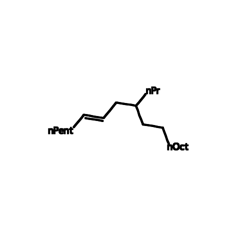 [CH2]CCCCC=CCC(CCC)CCCCCCCCC[CH2]